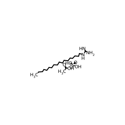 CC(=O)O.CCCCCCCCCCCCCCCCCCNC(=N)N.O=S(=O)(O)O